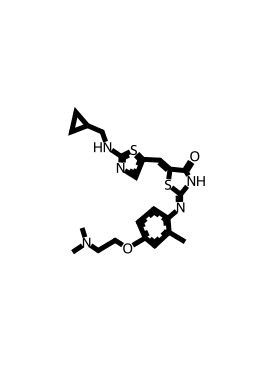 Cc1cc(OCCN(C)C)ccc1/N=C1/NC(=O)/C(=C/c2cnc(NCC3CC3)s2)S1